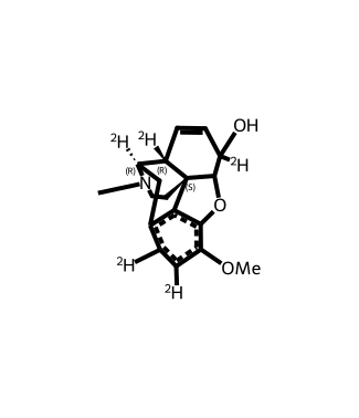 [2H]c1c([2H])c(OC)c2c3c1C[C@@]1([2H])N(C)CC[C@@]34C(O2)C([2H])(O)C=C[C@]41[2H]